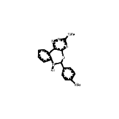 CCCCc1ccc(C2Oc3nc(SC)nnc3-c3ccccc3N2C(C)=O)cc1